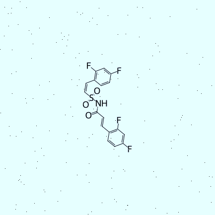 O=C(/C=C/c1ccc(F)cc1F)NS(=O)(=O)/C=C\c1ccc(F)cc1F